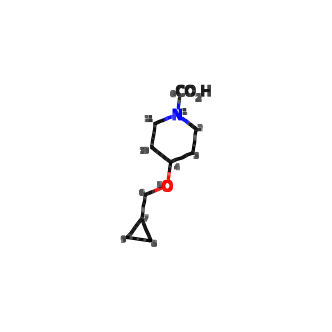 O=C(O)N1CCC(OCC2CC2)CC1